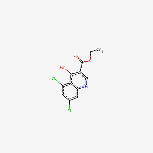 CCOC(=O)c1cnc2cc(Cl)cc(Cl)c2c1O